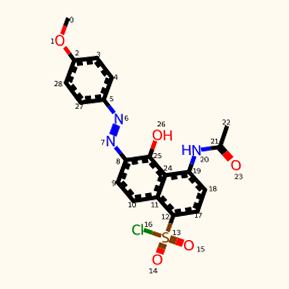 COc1ccc(N=Nc2ccc3c(S(=O)(=O)Cl)ccc(NC(C)=O)c3c2O)cc1